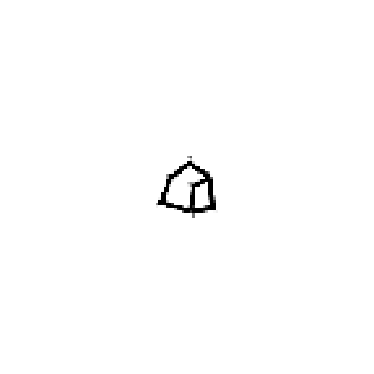 [C]1C2C[CH]CC1C2